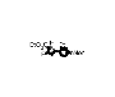 CCCCCCCCCc1ccc(-c2cc(F)c(C(=O)OCC)[nH]2)c(CC)c1